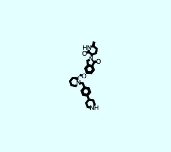 C=C1CCC(N2Cc3cc(OC[C@H]4CCCCN4Cc4ccc(C5CCNCC5)cc4)ccc3C2=O)C(=O)N1